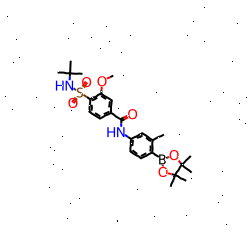 COc1cc(C(=O)Nc2ccc(B3OC(C)(C)C(C)(C)O3)c(C)c2)ccc1S(=O)(=O)NC(C)(C)C